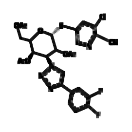 CC(=O)OCC1O[C@H](Sc2cnc(C#N)c(Cl)c2)C(OC(C)=O)[C@@H](n2cc(-c3ccc(F)c(F)c3)nn2)[C@H]1OC(C)=O